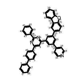 c1ccc(-c2ccc(-c3cc(-c4cc(-c5ccncc5)cc(-c5ccc6oc7ccccc7c6c5)c4)nc(-c4ccccc4)n3)cc2)cc1